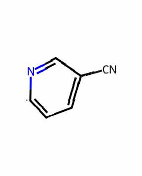 N#Cc1cc[c]nc1